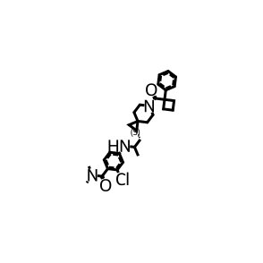 CC(C[C@@H]1CC12CCN(C(=O)C1(c3ccccc3)CCC1)CC2)Nc1ccc(C(=O)N(C)C)c(Cl)c1